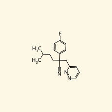 CC(C)CCC(C#N)(Cc1cccnn1)c1ccc(F)cc1